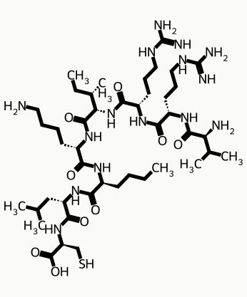 CCCC[C@H](NC(=O)[C@H](CCCCN)NC(=O)[C@@H](NC(=O)[C@H](CCCNC(=N)N)NC(=O)[C@H](CCCNC(=N)N)NC(=O)[C@@H](N)C(C)C)[C@@H](C)CC)C(=O)N[C@@H](CC(C)C)C(=O)N[C@@H](CS)C(=O)O